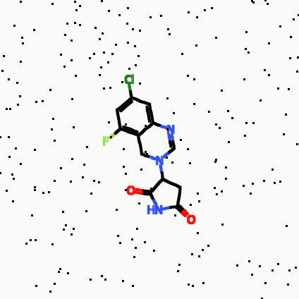 O=C1CC(N2C=Nc3cc(Cl)cc(F)c3C2)C(=O)N1